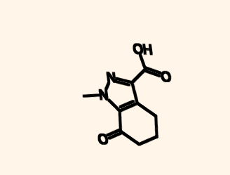 Cn1nc(C(=O)O)c2c1C(=O)CCC2